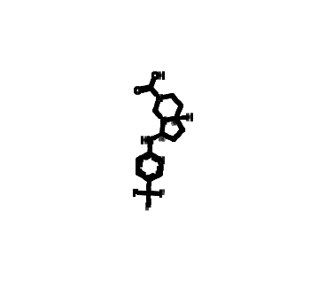 O=C(O)N1CC[C@@H]2CC[C@@H](Nc3ccc(C(F)(F)F)cn3)N2C1